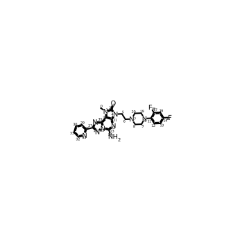 Cn1c(=O)n(CCN2CCN(c3ccc(F)cc3F)CC2)c2nc(N)n3nc(-c4ccccn4)nc3c21